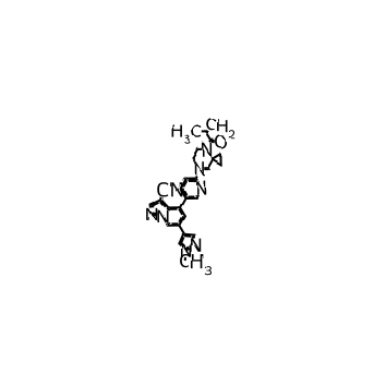 C=C(C)C(=O)N1CCN(c2ccc(-c3cc(-c4cnn(C)c4)cn4ncc(C#N)c34)cn2)CC12CC2